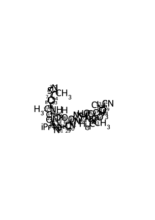 Cc1ncsc1-c1ccc([C@H](C)NC(=O)[C@@H]2C[C@@H](O)CN2C(=O)[C@@H](C(C)C)n2cc(-c3ccnc(Oc4ncc(C(=O)NC5C(C)(C)C(Oc6ccc(C#N)c(Cl)c6)C5(C)C)cn4)c3)cn2)cc1